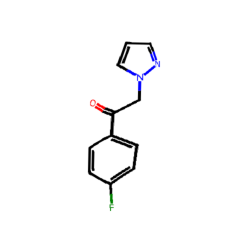 O=C(Cn1cccn1)c1ccc(F)cc1